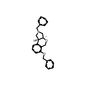 C[C@@]12CN(Cc3ccccc3)C[C@H]1c1cccc(OCc3ccccc3)c1CO2